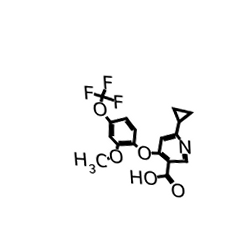 COc1cc(OC(F)(F)F)ccc1Oc1cc(C2CC2)ncc1C(=O)O